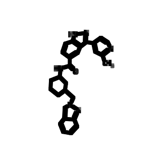 Cc1cc(-c2n[nH]c3ccc(C(=O)NC4CCCC(Cn5cc6ccccc6n5)C4)cc23)ccn1